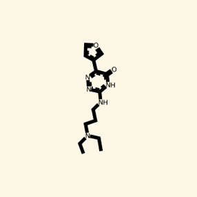 CCN(CC)CCCNc1nnc(-c2ccoc2)c(=O)[nH]1